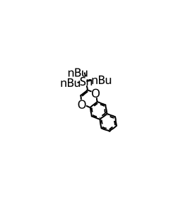 CCC[CH2][Sn]([CH2]CCC)([CH2]CCC)[C]1=COc2cc3ccccc3cc2O1